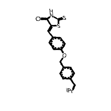 CC(C)Cc1ccc(COc2ccc(/C=C3\SC(=S)NC3=O)cc2)cc1